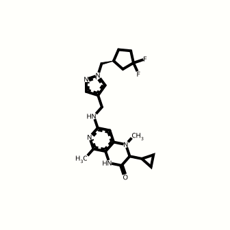 Cc1nc(NCc2cnn(C[C@H]3CCC(F)(F)C3)c2)cc2c1NC(=O)C(C1CC1)N2C